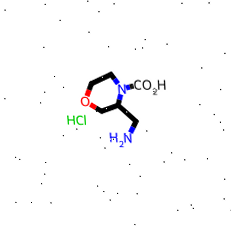 Cl.NCC1COCCN1C(=O)O